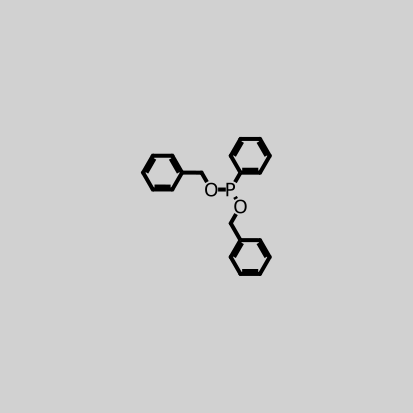 c1ccc(COP(OCc2ccccc2)c2ccccc2)cc1